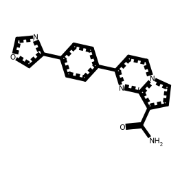 NC(=O)c1ccn2ccc(-c3ccc(-c4cocn4)cc3)nc12